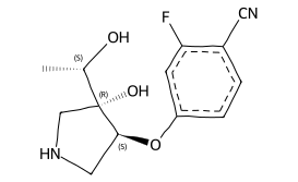 C[C@H](O)[C@]1(O)CNC[C@@H]1Oc1ccc(C#N)c(F)c1